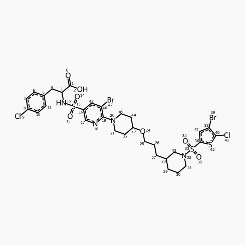 O=C(O)C(Cc1ccc(Cl)cc1)NS(=O)(=O)c1cnc(N2CCC(OCCCC3CCCN(S(=O)(=O)c4cc(Br)c(Cl)s4)C3)CC2)c(Br)c1